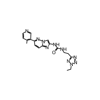 CCn1nnc(CCNC(=O)Nc2cn3nc(-c4cnccc4C)ccc3n2)n1